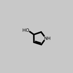 OC1C=CNC1